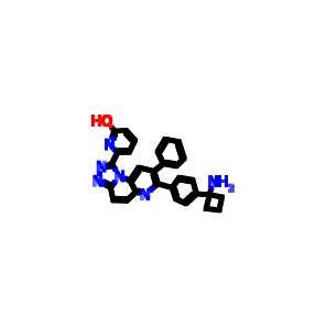 NC1(c2ccc(-c3nc4ccc5nnc(-c6cccc(O)n6)n5c4cc3-c3ccccc3)cc2)CCC1